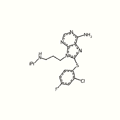 CC(C)NCCCn1c(Sc2ccc(F)cc2Cl)nc2c(N)ncnc21